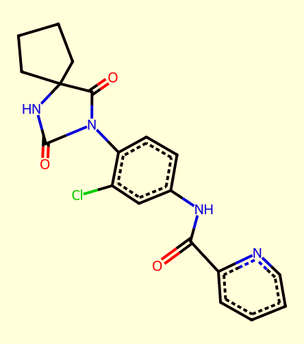 O=C(Nc1ccc(N2C(=O)NC3(CCCC3)C2=O)c(Cl)c1)c1ccccn1